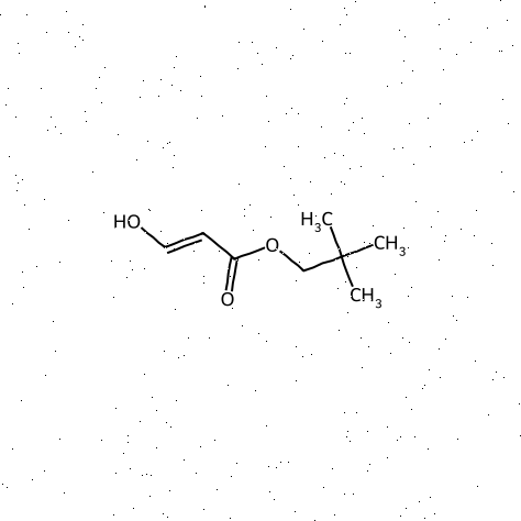 CC(C)(C)COC(=O)C=CO